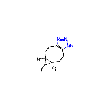 C[C@H]1[C@H]2CCc3nn[nH]c3CC[C@@H]12